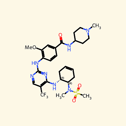 COc1cc(C(=O)NC2CCN(C)CC2)ccc1Nc1ncc(C(F)(F)F)c(N[C@@H]2CC=CC[C@H]2N(C)S(C)(=O)=O)n1